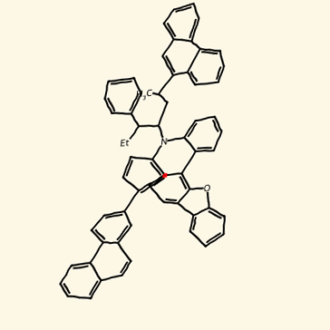 CCC(c1ccccc1)C(CC(C)c1cc2ccccc2c2ccccc12)N(c1ccc(-c2ccc3c(ccc4ccccc43)c2)cc1)c1ccccc1-c1cccc2c1oc1ccccc12